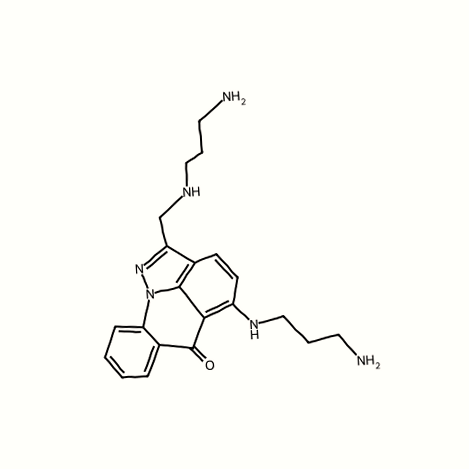 NCCCNCc1nn2c3ccccc3c(=O)c3c(NCCCN)ccc1c32